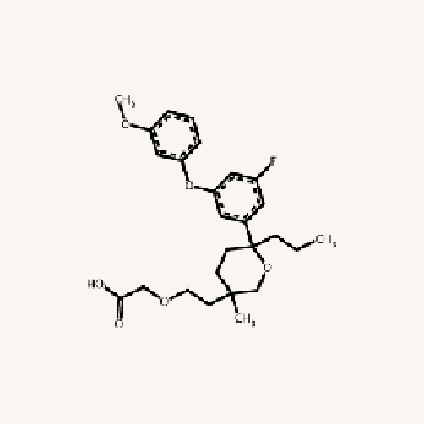 CCCC1(c2cc(F)cc(Oc3cccc(OC)c3)c2)CCC(C)(CCOCC(=O)O)CO1